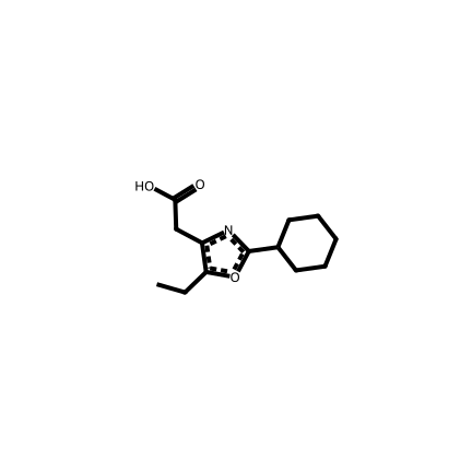 CCc1oc(C2CCCCC2)nc1CC(=O)O